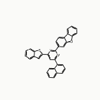 c1ccc2sc(-c3cc(-c4cccc5ccccc45)nc(-c4ccc5c(c4)oc4ccccc45)n3)cc2c1